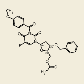 COc1ccc(C(=O)n2c(=O)c(F)cn([C@H]3C[C@H](OCc4ccccc4)[C@@H](COC(C)=O)O3)c2=O)cc1